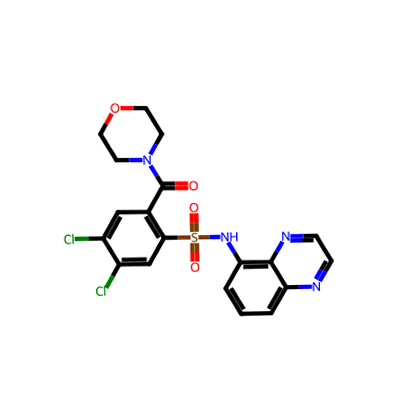 O=C(c1cc(Cl)c(Cl)cc1S(=O)(=O)Nc1cccc2nccnc12)N1CCOCC1